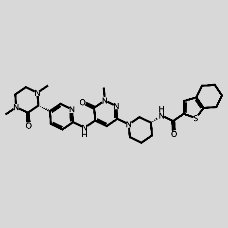 CN1CCN(C)[C@H](c2ccc(Nc3cc(N4CCC[C@@H](NC(=O)c5cc6c(s5)CCCC6)C4)nn(C)c3=O)nc2)C1=O